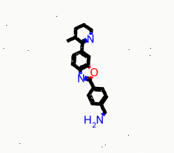 CC1CCCN=C1c1ccc2nc(-c3ccc(CN)cc3)oc2c1